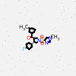 Cc1cccc(C(=O)[C@H]2CN(S(=O)(=O)c3cn(C)cn3)C[C@@H]2c2ccc(F)cc2)c1